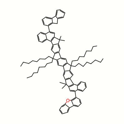 CCCCCCCCC1(CCCCCCCC)c2cc3c(cc2-c2cc4c(cc21)-c1cc2c(cc1C4(CCCCCCCC)CCCCCCCC)-c1c(cc(-c4cccc5c4oc4ccccc45)c4ccccc14)C2(C)C)C(C)(C)c1cc(-c2cccc4c2Cc2ccccc2-4)c2ccccc2c1-3